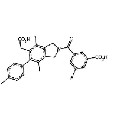 Cc1ccc(-c2c(C)c3c(c(C)c2CC(=O)O)CN(C(=O)c2cc(F)cc(C(=O)O)c2)C3)cc1